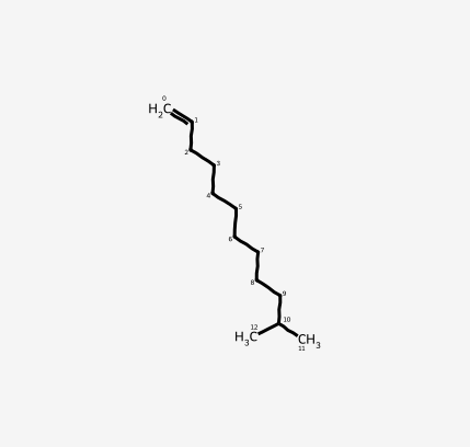 C=CCCCCCCCCC(C)C